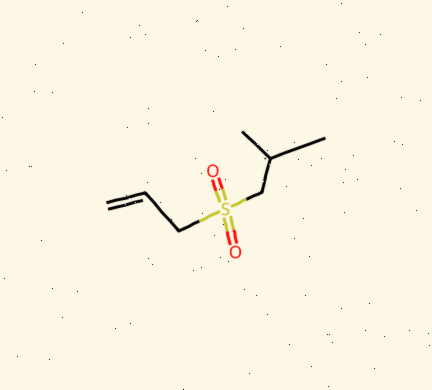 C=CCS(=O)(=O)C[C](C)C